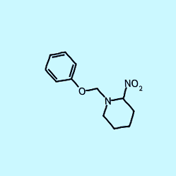 O=[N+]([O-])C1CCCCN1COc1ccccc1